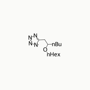 CCCCCCOC(CCCC)CC1=NN=N[N]1